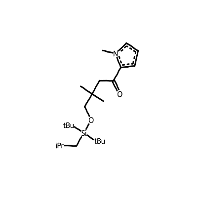 CC(C)C[Si](OCC(C)(C)CC(=O)c1cccn1C)(C(C)(C)C)C(C)(C)C